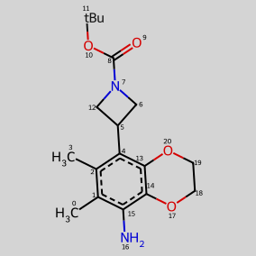 Cc1c(C)c(C2CN(C(=O)OC(C)(C)C)C2)c2c(c1N)OCCO2